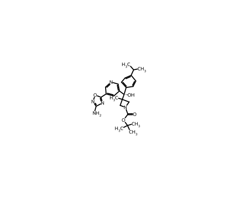 CC(C)c1ccc([C@](O)(c2cncc(-c3nc(N)no3)c2)C2(C)CN(C(=O)OC(C)(C)C)C2)cc1